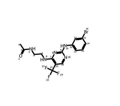 CC(=O)NCCNc1nc(Nc2cccc(Br)c2)ncc1C(F)(F)F